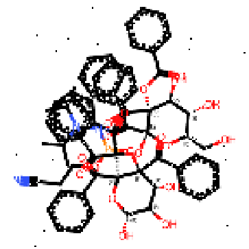 CC(C)N(NP(OCCC#N)O[C@@]1(C(=O)c2ccccc2)[C@H](O)[C@@H](O)[C@H](O)O[C@]1(C(=O)c1ccccc1)C(O[C@]1(C(=O)c2ccccc2)O[C@H](CO)[C@@H](O)[C@H](O)[C@]1(OC(=O)c1ccccc1)C(=O)c1ccccc1)(C(=O)c1ccccc1)C(=O)c1ccccc1)C(C)C